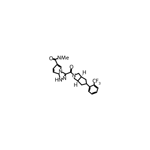 CNC(=O)C1=CN2C(C(=O)N3C[C@H]4CC(c5ccccc5C(F)(F)F)C[C@H]4C3)=NNC2C=C1